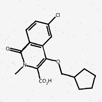 Cn1c(C(=O)O)c(OCC2CCCC2)c2cc(Cl)ccc2c1=O